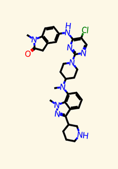 CN1C(=O)Cc2cc(Nc3nc(N4CCC(N(C)c5cccc6c(C7CCCNC7)nn(C)c56)CC4)ncc3Cl)ccc21